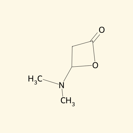 CN(C)C1CC(=O)O1